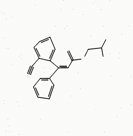 CC(C)COC(=O)C=C(c1ccccc1)c1ccccc1C#N